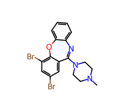 CN1CCN(C2=Nc3ccccc3Oc3c(Br)cc(Br)cc32)CC1